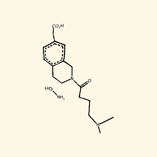 CN(C)CCCC(=O)N1CCc2ccc(C(=O)O)cc2C1.NO